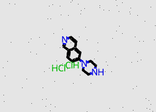 Cl.Cl.c1cc2cc(N3CCNCC3)ccc2cn1